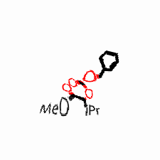 COC(=O)C(OC(=O)OCc1ccccc1)C(C)C